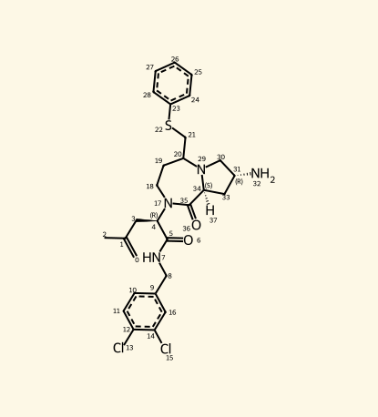 C=C(C)C[C@H](C(=O)NCc1ccc(Cl)c(Cl)c1)N1CCC(CSc2ccccc2)N2C[C@H](N)C[C@H]2C1=O